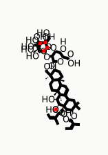 C/C=C(/C)C(=O)O[C@H]1[C@H](OC(=O)/C(C)=C\C)[C@@]2(CO)C(CC1(C)C)C1=CCC3[C@@]4(C)CC[C@H](O[C@@H]5OC(C(=O)O)[C@@H](O)C(O[C@@H]6O[C@@H](CO)C(O)C6O)C5O[C@@H]5OC(CO)[C@H](O)C(O)C5O)[C@](C)(CO)C4CC[C@@]3(C)[C@]1(C)[C@@H](O)[C@H]2O